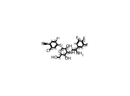 N#Cc1cc(F)c(S[C@H]2OC(CO)[C@H](O)C(N/C=C(\N)c3cc(F)c(F)c(F)c3)C2O)cc1Cl